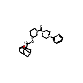 O=C(N1CCN(c2ncccn2)CC1)N1CCC[C@H](NC(=O)C23CC4CC(C2)C(O)C(C4)C3)C1